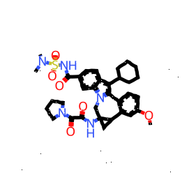 COc1ccc2c(c1)C1CC1(NC(=O)C(=O)N1CCCC1)Cn1c-2c(C2CCCCC2)c2ccc(C(=O)NS(=O)(=O)N(C)C)cc21